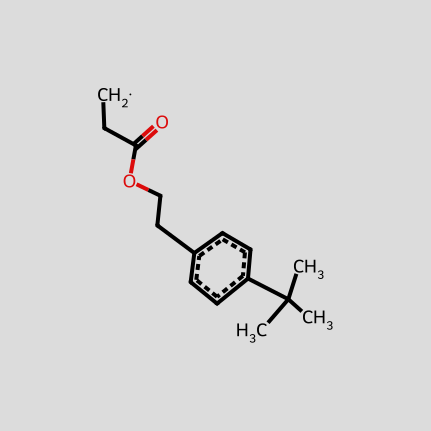 [CH2]CC(=O)OCCc1ccc(C(C)(C)C)cc1